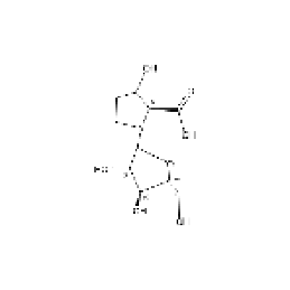 O=C(O)[C@@H]1C(O)CCN1C1O[C@H](CO)[C@@H](O)[C@@H]1O